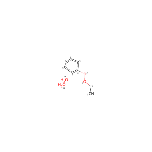 N#CCO[B]c1ccccc1.O.O